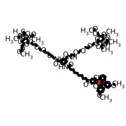 COc1ccc(C(OCC2(C)CN(C(=O)CCCCCCCCC(=O)Nc3cc(C(=O)NCCOCCOCCOCCOC4OC(COC(C)=O)C(OC(C)=O)C(OC(C)=O)C4NC(C)=O)cc(C(=O)NCCOCCOCCOCCOC4OC(COC(C)=O)C(OC(C)=O)C(OC(C)=O)[C@H]4NC(C)=O)c3)CC2(C)CO)(c2ccccc2)c2ccc(OC)cc2)cc1